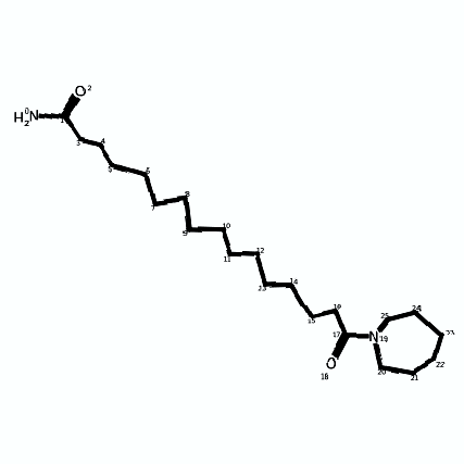 NC(=O)CCCCCCCCCCCCCCC(=O)N1CCCCCC1